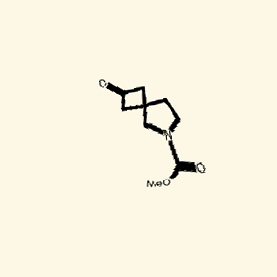 COC(=O)N1CCC2(CC(=O)C2)C1